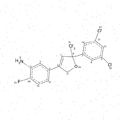 Nc1cc(C2=CC(c3cc(Cl)cc(Cl)c3)(C(F)(F)F)OC2)ccc1F